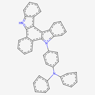 c1ccc(N(c2ccccc2)c2ccc(-n3c4ccccc4c4c5c6ccccc6[nH]c5c5ccccc5c43)cc2)cc1